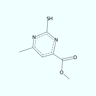 COC(=O)c1cc(C)nc(S)n1